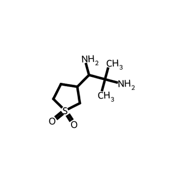 CC(C)(N)C(N)C1CCS(=O)(=O)C1